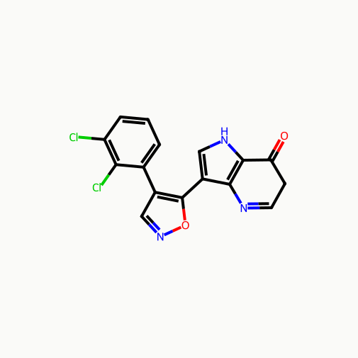 O=C1CC=Nc2c(-c3oncc3-c3cccc(Cl)c3Cl)c[nH]c21